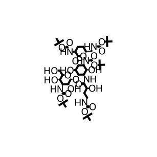 CC(C)(C)OC(=O)NCC[C@H](O)C(=O)NC1[C@H](O[C@H]2OC(CO)[C@@H](O)[C@H](NC(=O)OC(C)(C)C)C2O)C(O)C(O[C@H]2O[C@H](CNC(=O)OC(C)(C)C)CCC2NC(=O)OC(C)(C)C)[C@@H](NC(=O)OC(C)(C)C)[C@H]1O